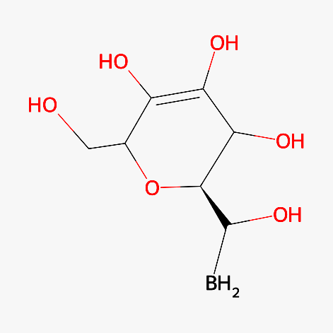 BC(O)[C@H]1OC(CO)C(O)=C(O)C1O